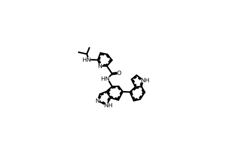 CC(C)Nc1cccc(C(=O)Nc2cc(-c3cccc4[nH]ccc34)cc3[nH]ncc23)n1